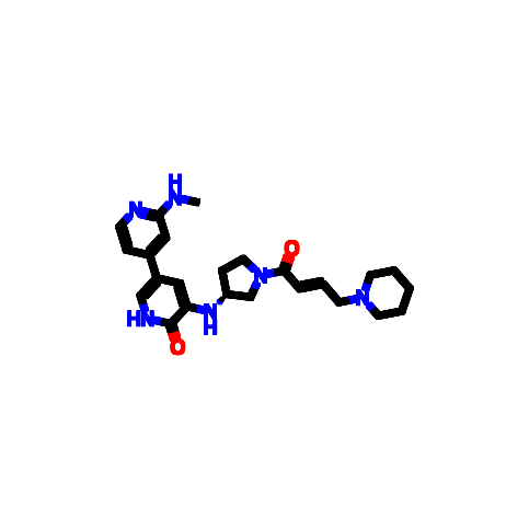 CNc1cc(-c2c[nH]c(=O)c(N[C@@H]3CCN(C(=O)/C=C/CN4CCCCC4)C3)c2)ccn1